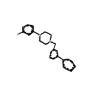 Fc1cccc(N2CCN(Cc3cccc(-c4ccccc4)c3)CC2)c1